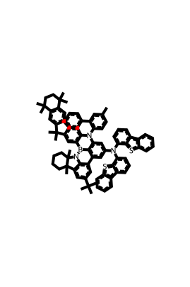 Cc1ccc(N2c3cc4c(cc3B3c5c(cc(N(c6cccc7c6sc6ccccc67)c6cccc7c6sc6ccccc67)cc52)-c2cc(C(C)(C)C)cc5c2N3C2(C)CCCCC52C)C(C)(C)c2cc3c(cc2-4)C(C)(C)CCC3(C)C)c(-c2ccccc2)c1